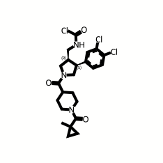 CC1(C(=O)N2CCC(C(=O)N3C[C@@H](CNC(=O)Cl)[C@@H](c4ccc(Cl)c(Cl)c4)C3)CC2)CC1